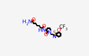 NC(=O)/C=C/CCCC(=O)Nc1cccn(Cc2nc3cccc(OCC(F)(F)F)c3s2)c1=O